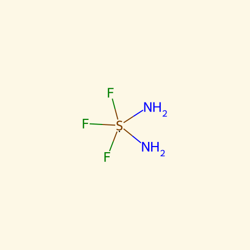 N[S](N)(F)(F)F